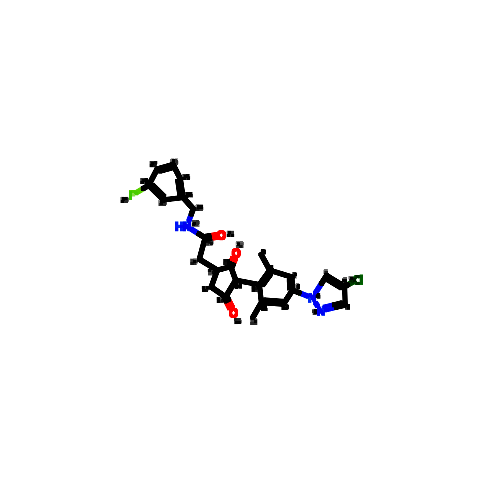 Cc1cc(-n2cc(Cl)cn2)cc(C)c1C1C(=O)CC(CC(=O)NCc2cccc(F)c2)C1=O